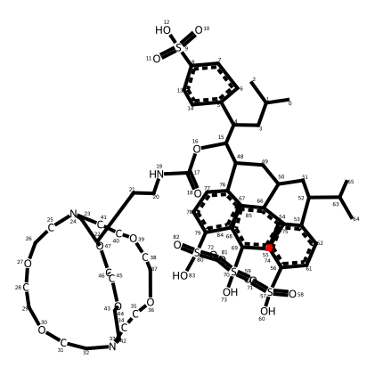 CC(C)CC(c1ccc(S(=O)(=O)O)cc1)C(OC(=O)NCCC1CN2CCOCCOCCN(CCOCCOCC2)CCOCCO1)C(CC(CC(c1ccc(S(=O)(=O)O)cc1)C(C)C)c1ccc(S(=O)(=O)O)cc1)c1ccc(S(=O)(=O)O)cc1